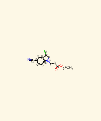 CCOC(=O)CCn1cc(Cl)c2cc(C#N)ccc21